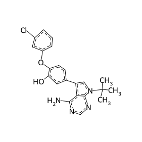 CC(C)(C)n1cc(-c2ccc(Oc3cccc(Cl)c3)c(O)c2)c2c(N)ncnc21